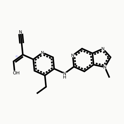 CCc1cc(/C(C#N)=C\O)ncc1Nc1cc2c(cn1)ncn2C